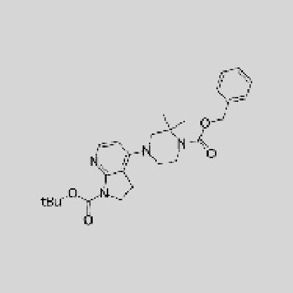 CC(C)(C)OC(=O)N1CCc2c(N3CCN(C(=O)OCc4ccccc4)C(C)(C)C3)ccnc21